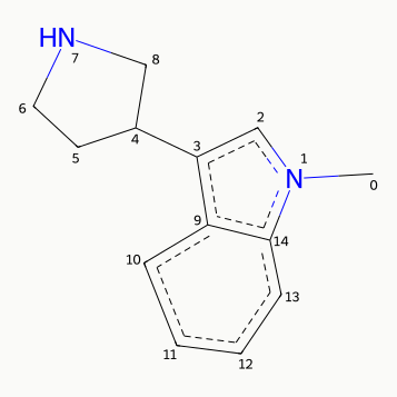 Cn1cc(C2CCNC2)c2ccccc21